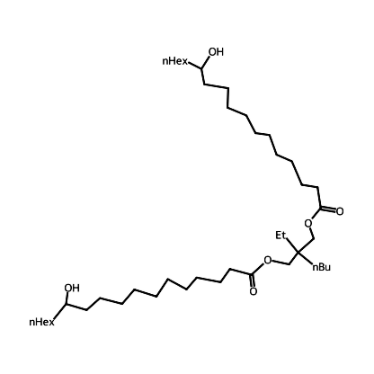 CCCCCCC(O)CCCCCCCCCCC(=O)OCC(CC)(CCCC)COC(=O)CCCCCCCCCCC(O)CCCCCC